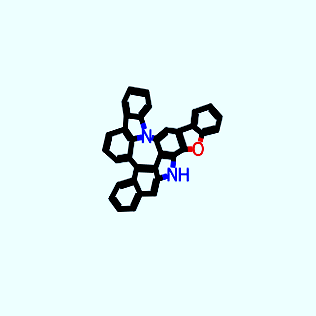 c1ccc2c(c1)cc1[nH]c3c4oc5ccccc5c4cc4c3c1c2c1cccc2c3ccccc3n4c21